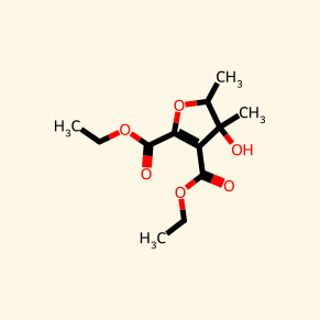 CCOC(=O)C1=C(C(=O)OCC)C(C)(O)C(C)O1